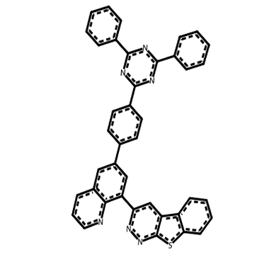 c1ccc(-c2nc(-c3ccccc3)nc(-c3ccc(-c4cc(-c5cc6c(nn5)sc5ccccc56)c5ncccc5c4)cc3)n2)cc1